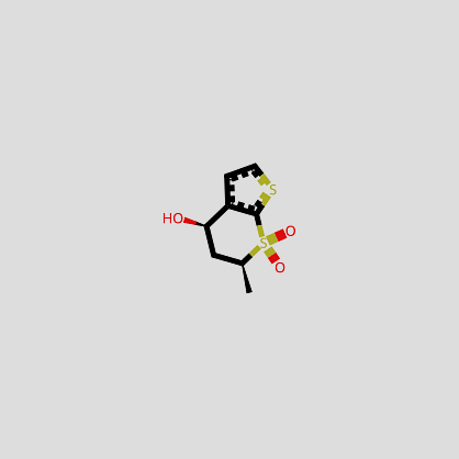 C[C@H]1C[C@@H](O)c2ccsc2S1(=O)=O